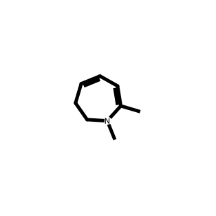 CC1=CC=CCCN1C